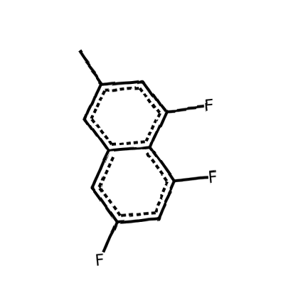 Cc1cc(F)c2c(F)cc(F)cc2c1